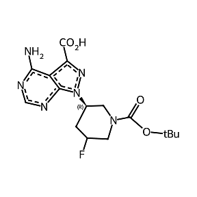 CC(C)(C)OC(=O)N1CC(F)C[C@@H](n2nc(C(=O)O)c3c(N)ncnc32)C1